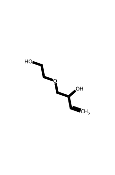 C=CC(O)COCCO